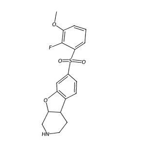 COc1cccc(S(=O)(=O)c2ccc3c(c2)OC2CNCCC32)c1F